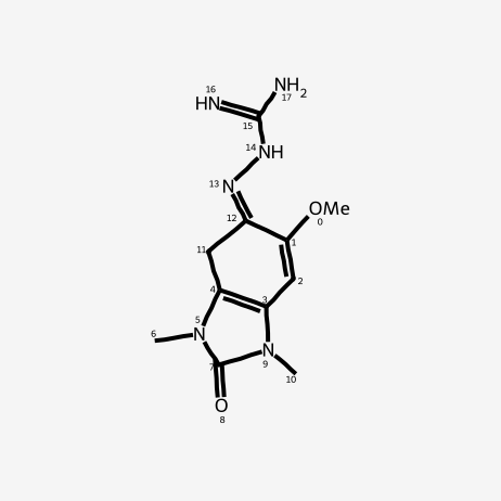 COC1=Cc2c(n(C)c(=O)n2C)C/C1=N/NC(=N)N